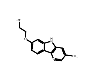 Cc1cnc2c(c1)[nH]c1cc(OCC[18F])ccc12